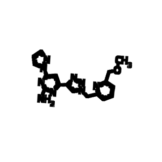 COCc1cccc(Cn2cc(-c3cc(-n4cccn4)nc(N)n3)nn2)n1